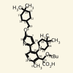 Cc1ncc(-c2ccc(OCC3CCC(C)(C)CC3)cn2)c(N2CCC(C)(C)CC2)c1[C@H](OC(C)(C)C)C(=O)O